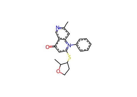 Cc1cc2c(cn1)c(=O)cc(SC1CCOC1C)n2-c1ccccc1